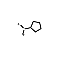 CCCP(CCC)C1CCCC1